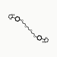 c1cc(C2=NCCN2)ccc1OCCOCCOCCOc1ccc(C2=NCCN2)cc1